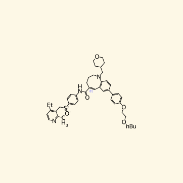 CCCCOCCOc1ccc(-c2ccc3c(c2)/C=C(/C(=O)Nc2ccc([S@+]([O-])Cc4c(CC)ccnc4C)cc2)CCCN3CC2CCOCC2)cc1